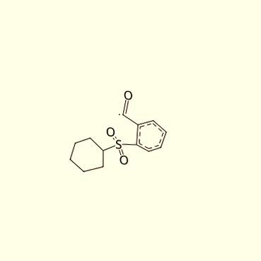 O=[C]c1ccccc1S(=O)(=O)C1CCCCC1